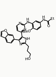 CCC(=O)Nc1ccc(OC)c(Nc2nccc(-c3[nH]c(CCCO)nc3-c3ccc4ccoc4c3)n2)c1